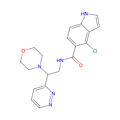 O=C(NCC(c1cccnn1)N1CCOCC1)c1ccc2[nH]ccc2c1Cl